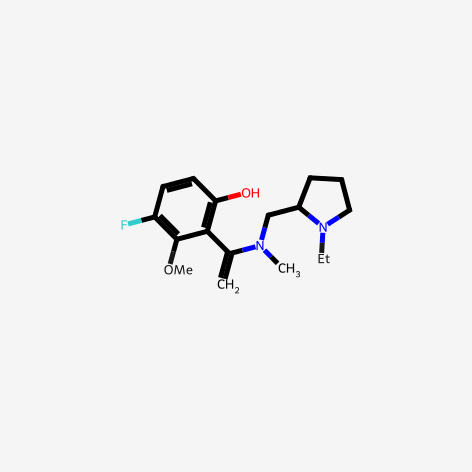 C=C(c1c(O)ccc(F)c1OC)N(C)CC1CCCN1CC